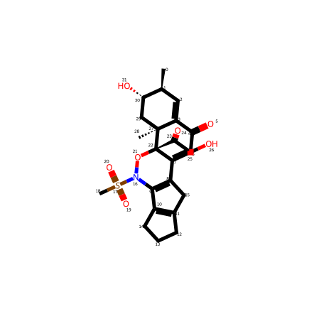 C[C@H]1C=C2C(=O)C=C3C4=C(C5=C(CCC5)C4)N(S(C)(=O)=O)O[C@]3(C(=O)CO)[C@@]2(C)C[C@@H]1O